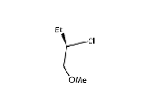 CC[C@@H](Cl)COC